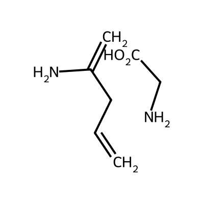 C=CCC(=C)N.NCC(=O)O